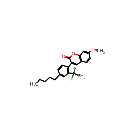 BC(F)(F)c1cc(CCCCC)ccc1-c1cc2ccc(OC)cc2oc1=O